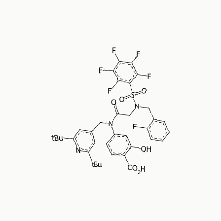 CC(C)(C)c1cc(CN(C(=O)CN(Cc2ccccc2F)S(=O)(=O)c2c(F)c(F)c(F)c(F)c2F)c2ccc(C(=O)O)c(O)c2)cc(C(C)(C)C)n1